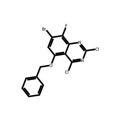 Fc1c(Br)cc(OCc2ccccc2)c2c(Cl)nc(Cl)nc12